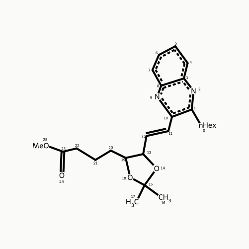 CCCCCCc1nc2ccccc2nc1/C=C/C1OC(C)(C)OC1CCCC(=O)OC